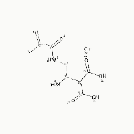 C=C(C)C(=O)NCC(N)C(C(=O)O)C(=O)O.[Cu]